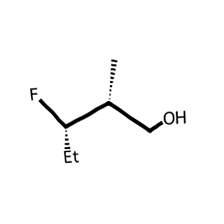 CC[C@H](F)[C@H](C)CO